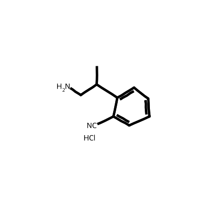 CC(CN)c1ccccc1C#N.Cl